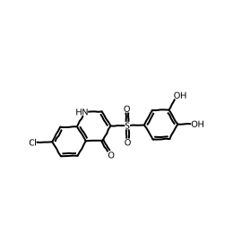 O=c1c(S(=O)(=O)c2ccc(O)c(O)c2)c[nH]c2cc(Cl)ccc12